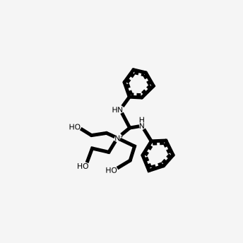 OCC[N+](CCO)(CCO)C(Nc1ccccc1)Nc1ccccc1